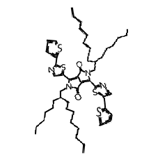 CCCCCCCCC(CCCCCC)CN1C(=O)C2=C(c3ncc(-c4cccs4)s3)N(CC(CCCCCC)CCCCCCCC)C(=O)C2=C1c1cnc(-c2cccs2)s1